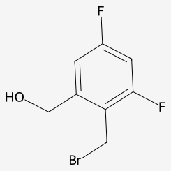 OCc1cc(F)cc(F)c1CBr